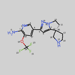 Nc1ncc(-c2cc3n(n2)CC[C@@]32CCNC2)cc1OC(F)(F)F